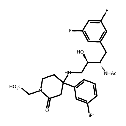 CC(=O)N[C@@H](Cc1cc(F)cc(F)c1)[C@H](O)CNC1(c2cccc(C(C)C)c2)CCN(CC(=O)O)C(=O)C1